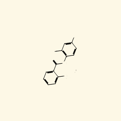 Cc1ccc(PC(=O)c2ccccc2C)c(Cl)c1.[LiH]